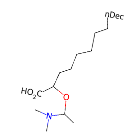 CCCCCCCCCCCCCCCCC(OC(C)N(C)C)C(=O)O